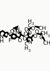 C#CCOC(C)C(=O)OCc1cnc(C)c(OC(=O)c2cn(C3CC3)c3c(OC)c(N4CC5CCCNC5C4)c(F)cc3c2=O)c1COC(=O)C(C)OCC#C